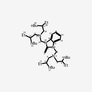 C=C1N(CN(CC(CC)CCCC)CC(CC)CCCC)c2ccccc2N1CN(CC(CC)CCCC)CC(CC)CCCC